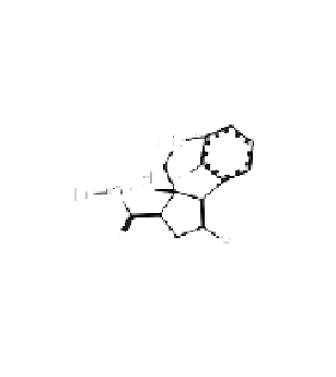 CCC(C)OC(=O)C1CC(Br)C2c3cccc(c3C(=O)O)NCC12C(=O)O